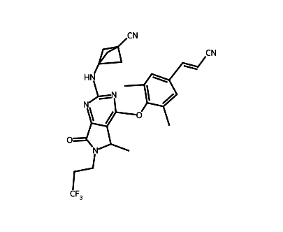 Cc1cc(/C=C/C#N)cc(C)c1Oc1nc(NC23CC(C#N)(C2)C3)nc2c1C(C)N(CCC(F)(F)F)C2=O